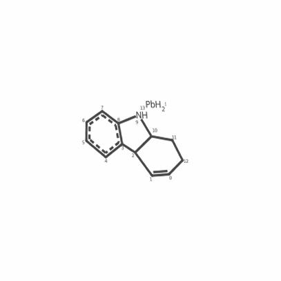 C1=CC2c3ccccc3NC2CC1.[PbH2]